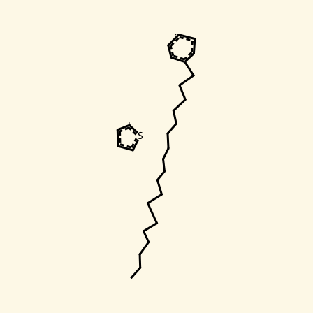 CCCCCCCCCCCCCCCCCCc1cc[c]cc1.[c]1cccs1